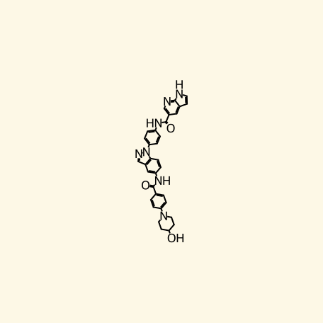 O=C(Nc1ccc2c(cnn2-c2ccc(NC(=O)c3cnc4[nH]ccc4c3)cc2)c1)c1ccc(N2CCC(O)CC2)cc1